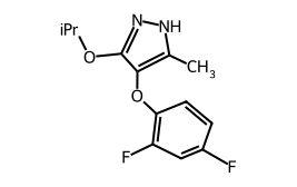 Cc1[nH]nc(OC(C)C)c1Oc1ccc(F)cc1F